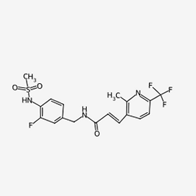 Cc1nc(C(F)(F)F)ccc1/C=C/C(=O)NCc1ccc(NS(C)(=O)=O)c(F)c1